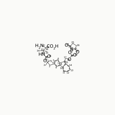 CC(C)(Cc1ccc2c(c1)-c1ccccc1C2COC(=O)ON1C(=O)CCC1=O)OC(=O)NC(C)(C)C(N)C(=O)O